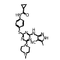 Cc1[nH]nc(Nc2nc(Sc3ccc(NC(=O)C4CC4)cc3)nc(N3CCN(C)CC3)n2)c1C#N